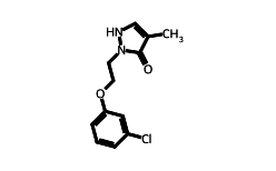 Cc1c[nH]n(CCOc2cccc(Cl)c2)c1=O